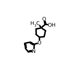 CC1(C(=O)O)CCC(Oc2ccccn2)CC1